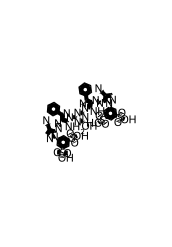 N#Cc1cnn(-c2cc(S(=O)(=O)O)cc(S(=O)(=O)O)c2)c1N=Nc1c(-c2ccccc2)nn(-c2nc(O)nc(-n3nc(-c4ccccc4)c(N=Nc4c(C#N)cnn4-c4cc(S(=O)(=O)O)cc(S(=O)(=O)O)c4)c3N)n2)c1N